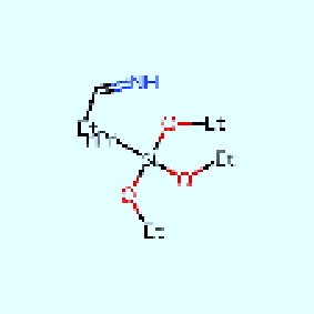 CCC=N.CCC[Si](OCC)(OCC)OCC